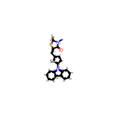 CN1C(=O)/C(=C\c2ccc(-n3c4ccccc4c4ccccc43)[se]2)SC1=S